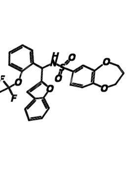 O=S(=O)(NC(c1cc2ccccc2o1)c1ccccc1OC(F)(F)F)c1ccc2c(c1)OCCCO2